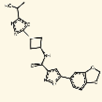 CC(O)c1nnc([C@H]2C[C@H](NC(=O)c3cc(-c4ccc5c(c4)OCO5)on3)C2)o1